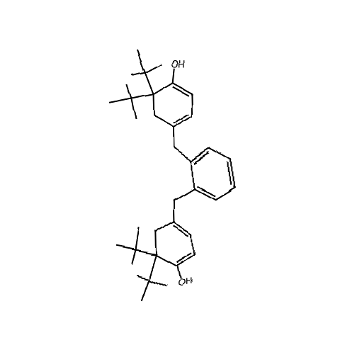 CC(C)(C)C1(C(C)(C)C)CC(Cc2ccccc2CC2=CC=C(O)C(C(C)(C)C)(C(C)(C)C)C2)=CC=C1O